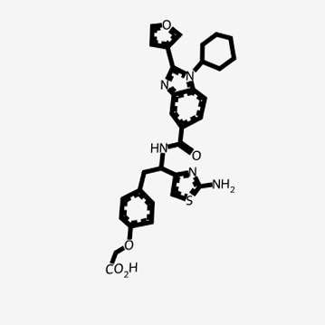 Nc1nc(C(Cc2ccc(OCC(=O)O)cc2)NC(=O)c2ccc3c(c2)nc(-c2ccoc2)n3C2CCCCC2)cs1